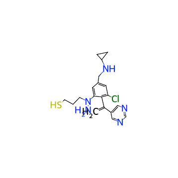 C=C(c1cncnc1)c1c(Cl)cc(CNC2CC2)cc1N(N)CCCS